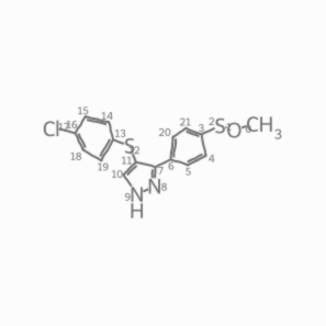 COSc1ccc(-c2n[nH]cc2Sc2ccc(Cl)cc2)cc1